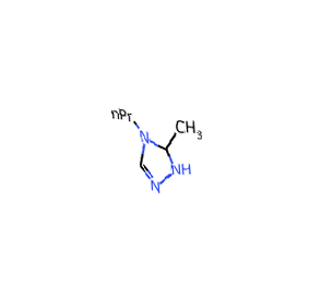 CCCN1C=NNC1C